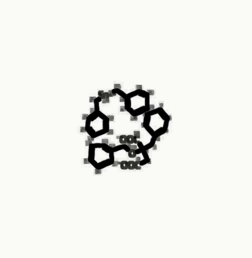 O=C([O-])CC(Cc1ccccc1)(OCc1ccccc1)C(=O)[O-].c1ccc([CH2][Sn+2][CH2]c2ccccc2)cc1